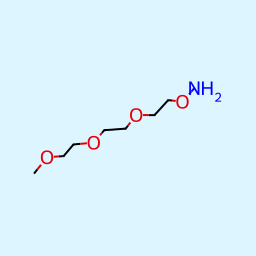 COCCOCCOCCON